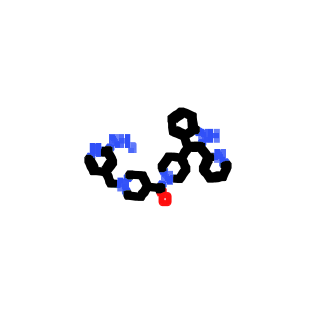 Nc1cc(CN2CCC(C(=O)N3CCC(c4c(-c5ccccn5)[nH]c5ccccc45)CC3)CC2)ccn1